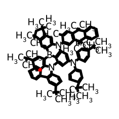 Cc1cc2c(cc1N1c3cc4c(cc3B3c5cc(C(C)(C)C)ccc5N(c5ccc(C(C)(C)C)cc5-c5ccccc5)c5cc(N(c6ccc(C(C)(C)C)cc6)c6ccc(C(C)(C)C)cc6)cc1c53)C(C)(C)CC4(C)C)C(C)(C)c1ccccc1C2(C)C